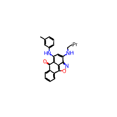 Cc1cccc(Nc2cc(NCC(C)C)c3noc4c3c2C(=O)c2ccccc2-4)c1